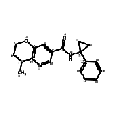 CN1CCOc2cc(C(=O)NC3(c4ccccc4)CC3)cnc21